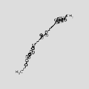 CCCCCC1CCC(C2CCC(C(=O)Oc3ccc(OC(=O)c4ccc(OCCCCCCCCOC(=O)CCC(=O)OCCCCCCCCCCOC(=O)C(F)(F)C(F)(F)C(F)(F)C(F)(F)C(=O)OCCC)cc4)cc3)CC2)CC1